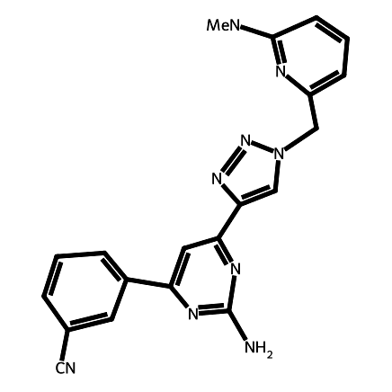 CNc1cccc(Cn2cc(-c3cc(-c4cccc(C#N)c4)nc(N)n3)nn2)n1